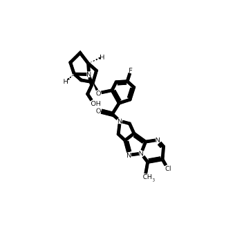 Cc1c(Cl)cnc2c3c(nn12)CN(C(=O)c1ccc(F)cc1O[C@H]1C[C@H]2CC[C@@H](C1)N2CCO)C3